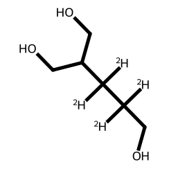 [2H]C([2H])(CO)C([2H])([2H])C(CO)CO